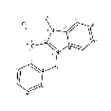 Cn1c(C(F)(F)F)[n+](Cc2ccccc2)c2ccccc21.[Cl-]